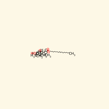 CCCCCCCCCCCCCCCCCCOC(=O)[C@@]1(C)CC[C@]2(C)CCC3(C)C(=CC(=O)[C@@H]4[C@@]5(C)CC[C@H](O)C(C)(C)C5CC[C@]43C)C2C1